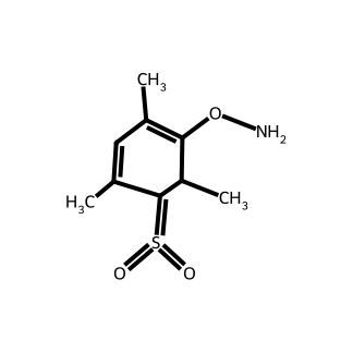 CC1=CC(C)=C(ON)C(C)C1=S(=O)=O